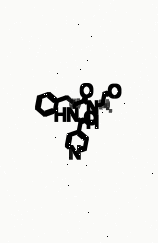 C[C@@H](C=O)NC(=O)[C@H](Cc1ccccc1)NC(=O)c1ccncc1